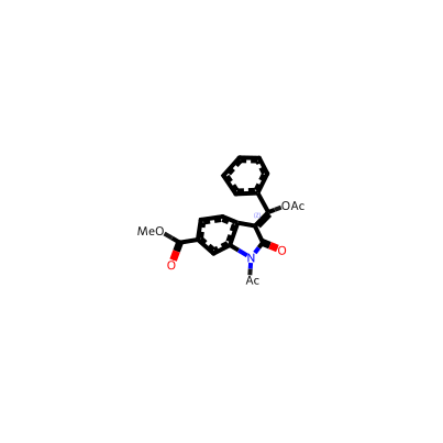 COC(=O)c1ccc2c(c1)N(C(C)=O)C(=O)/C2=C(\OC(C)=O)c1ccccc1